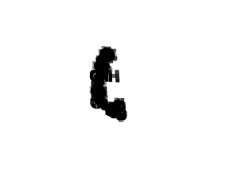 COc1ccc(C=CC(=O)c2ccc(OCC(=O)NC3CCN(Cc4ccccc4)CC3)cc2)cc1OC